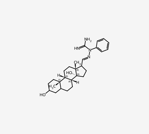 C[C@]12CCC(O)CC1CC[C@@H]1[C@H]2CC[C@]2(C)C(C=NN(C(=N)N)c3ccccc3)CC[C@@]12O